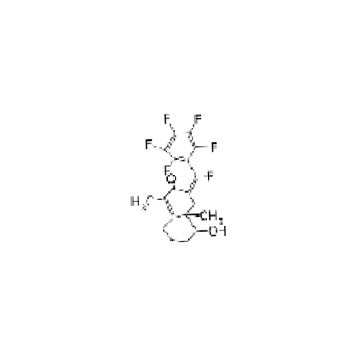 CC1=C2CCC[C@H](O)[C@@]2(C)C/C(=C(\F)c2c(F)c(F)c(F)c(F)c2F)C1=O